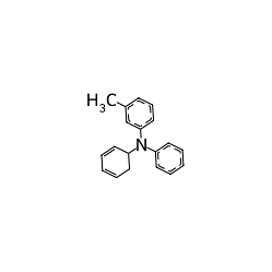 Cc1cccc(N(c2ccccc2)C2C=CC=CC2)c1